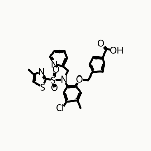 Cc1csc(S(=O)(=O)N(Cc2ccccn2)c2cc(Cl)c(C)cc2OCc2ccc(C(=O)O)cc2)n1